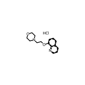 Cl.c1cnc2c(OCCN3CCOCC3)cccc2c1